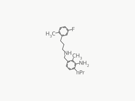 CCCc1ccc(CNCCCc2cc(F)ccc2C)c(C)c1N